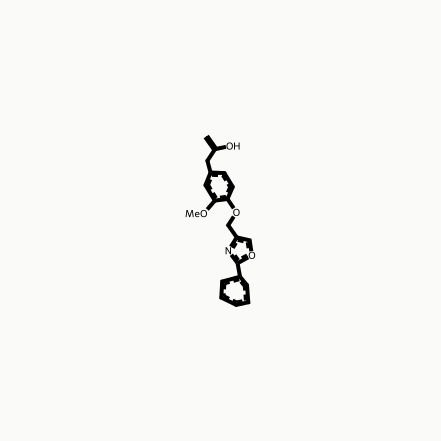 C=C(O)Cc1ccc(OCc2coc(-c3ccccc3)n2)c(OC)c1